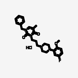 COc1ccc(F)cc1N1CCN(CCCn2c(=O)c(C)cn(Cc3ccccc3)c2=O)CC1.Cl